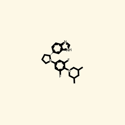 CC1CC(C)CN(c2c(F)cc(N3CCC[C@@H]3c3ccc4nc[nH]c4c3)cc2F)C1